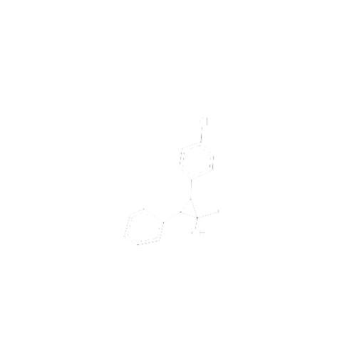 CC1(C)[C](c2ccc(Cl)cc2)C1c1ccccc1